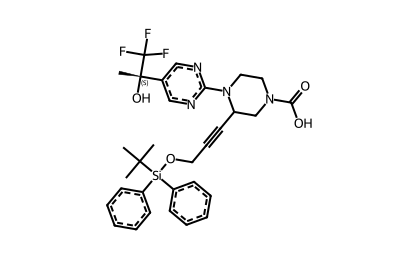 CC(C)(C)[Si](OCC#CC1CN(C(=O)O)CCN1c1ncc([C@](C)(O)C(F)(F)F)cn1)(c1ccccc1)c1ccccc1